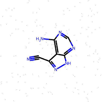 N#Cc1n[nH]c2ncnc(N)c12